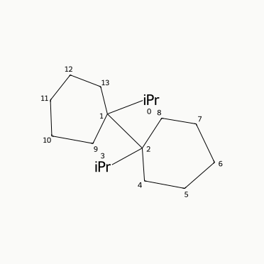 CC(C)C1(C2(C(C)C)CCCCC2)CCCCC1